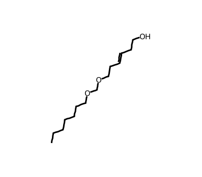 CCCCCCCOCOCCC=CCCO